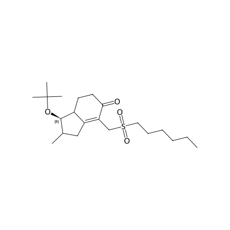 CCCCCCS(=O)(=O)CC1=C2CC(C)[C@@H](OC(C)(C)C)C2CCC1=O